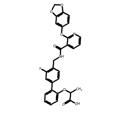 CC(Oc1ccccc1-c1ccc(CNC(=O)c2cccnc2Oc2ccc3c(c2)OCO3)c(F)c1)C(=O)O